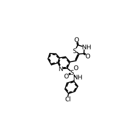 O=C1NC(=O)C(=Cc2cc3ccccc3nc2S(=O)(=O)Nc2ccc(Cl)cc2)S1